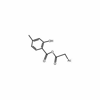 CC(=O)CC(=O)OC(=O)c1ccc(C)cc1O